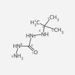 CC(C)(C)NNC(=O)NN